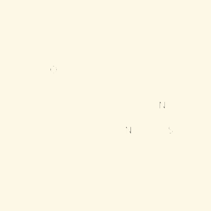 COc1cccc(-c2nsc(C)n2)c1